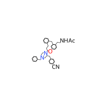 CC(=O)NCCc1ccccc1Cc1ccccc1CCC(=O)N1CCN(Cc2ccccc2)CC1Cc1ccc(C#N)cc1